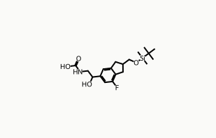 CC(C)(C)[Si](C)(C)OCC1Cc2cc(C(O)CNC(=O)O)cc(F)c2C1